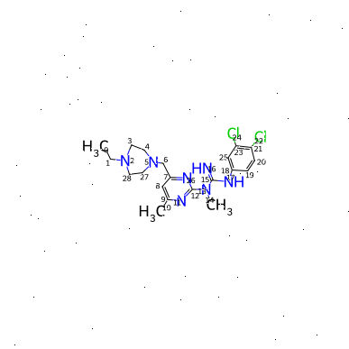 CCN1CCN(Cc2cc(C)nc(N(C)C(=N)Nc3ccc(Cl)c(Cl)c3)n2)CC1